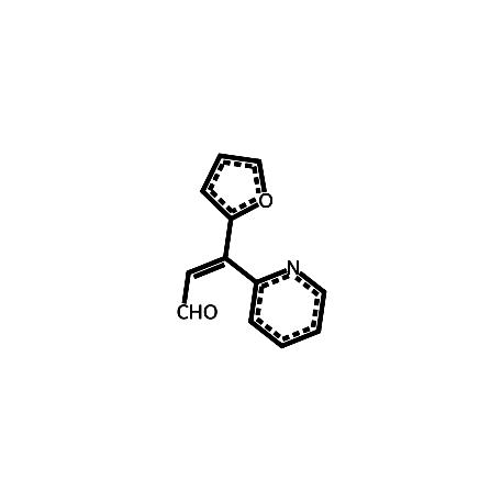 O=C/C=C(\c1ccccn1)c1ccco1